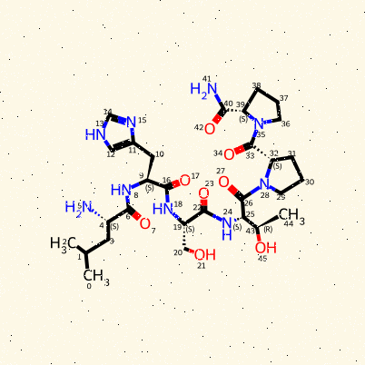 CC(C)C[C@H](N)C(=O)N[C@@H](Cc1c[nH]cn1)C(=O)N[C@@H](CO)C(=O)N[C@H](C(=O)N1CCC[C@H]1C(=O)N1CCC[C@H]1C(N)=O)[C@@H](C)O